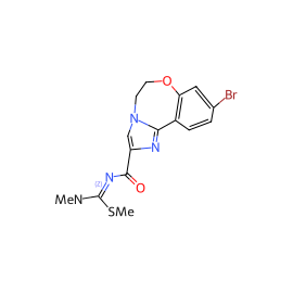 CN/C(=N/C(=O)c1cn2c(n1)-c1ccc(Br)cc1OCC2)SC